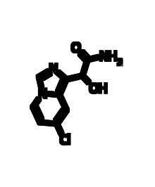 NC(=O)C(O)c1ncn2ccc(Cl)cc12